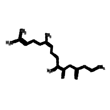 CCOC(=O)CC(=O)C(C)CCC=C(C)CCC=C(C)C